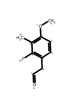 COc1ccc(CC=O)c(F)c1C